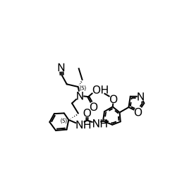 CC[C@@H](CC#N)N(CC[C@]1(NC(=O)Nc2ccc(-c3cnco3)c(OC)c2)C=CC=CC1)C(=O)O